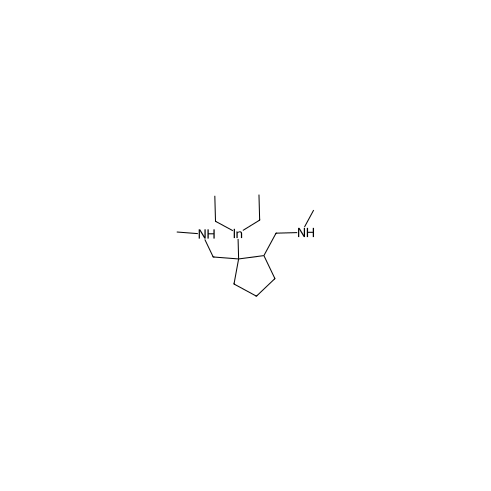 C[CH2][In]([CH2]C)[C]1(CNC)CCCC1CNC